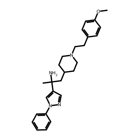 COc1ccc(CCN2CCC(CC(C)(N)c3cnn(-c4ccccc4)c3)CC2)cc1